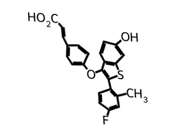 Cc1cc(F)ccc1-c1sc2cc(O)ccc2c1Oc1ccc(C=CC(=O)O)cc1